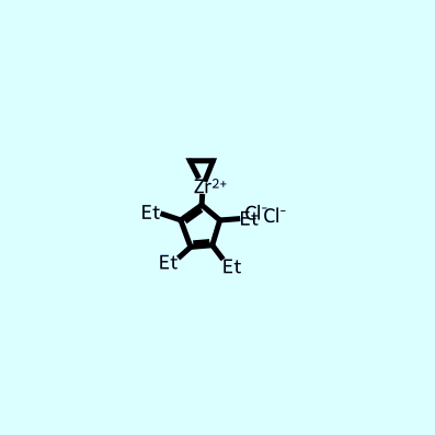 CCC1=C(CC)C(CC)[C]([Zr+2]2[CH2][CH2]2)=C1CC.[Cl-].[Cl-]